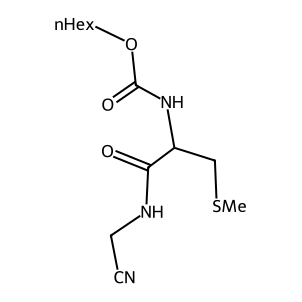 CCCCCCOC(=O)NC(CSC)C(=O)NCC#N